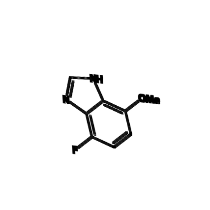 COc1ccc(F)c2nc[nH]c12